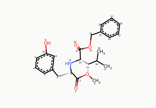 COC(=O)[C@H](Cc1cccc(O)c1)N[C@@H](CC(C)C)C(=O)OCc1ccccc1